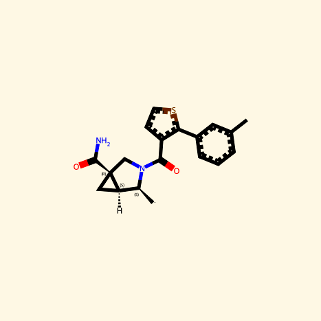 [CH2][C@H]1[C@H]2C[C@]2(C(N)=O)CN1C(=O)c1ccsc1-c1cccc(C)c1